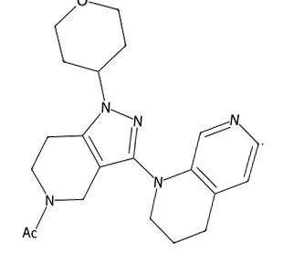 CC(=O)N1CCc2c(c(N3CCCc4c[c]ncc43)nn2C2CCOCC2)C1